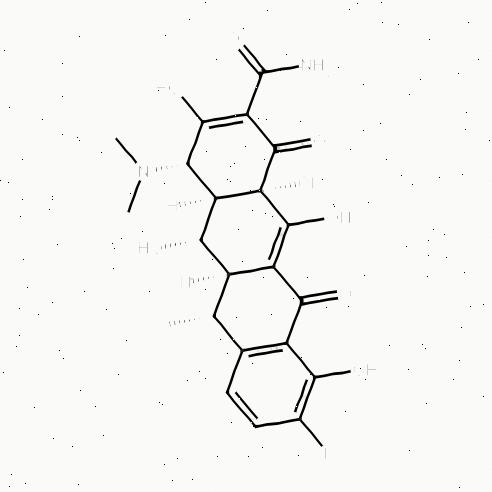 C[C@H]1c2ccc(F)c(O)c2C(=O)C2=C(O)[C@]3(O)C(=O)C(C(N)=O)=C(O)[C@@H](N(C)C)[C@@H]3[C@@H](O)[C@@H]21